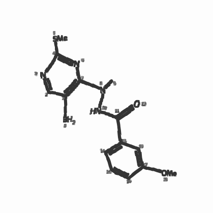 Bc1cnc(SC)nc1N(C)NC(=O)c1cccc(OC)c1